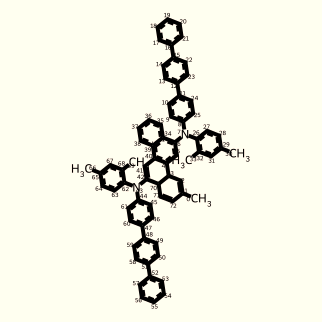 CC1=CC2c3cc(N(c4ccc(-c5ccc(-c6ccccc6)cc5)cc4)c4ccc(C)cc4C)c4ccccc4c3C=C(N(c3ccc(-c4ccc(-c5ccccc5)cc4)cc3)c3ccc(C)cc3C)C2C=C1